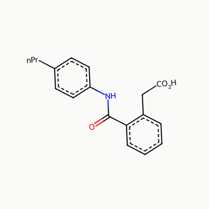 CCCc1ccc(NC(=O)c2ccccc2CC(=O)O)cc1